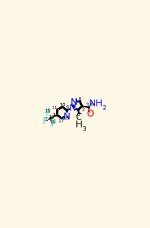 Cc1c(C(N)=O)cnn1-c1ccc(C(F)(F)F)cn1